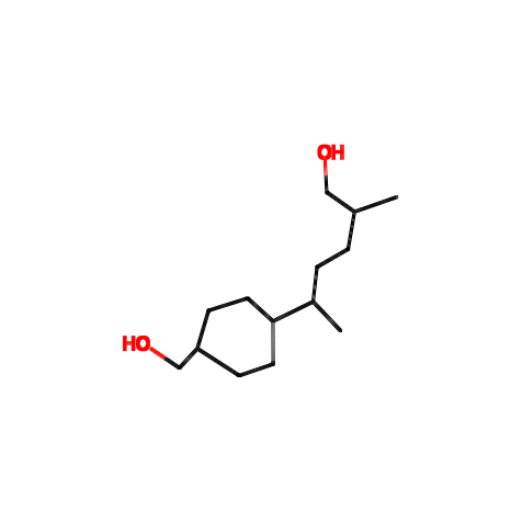 CC(CO)CCC(C)C1CCC(CO)CC1